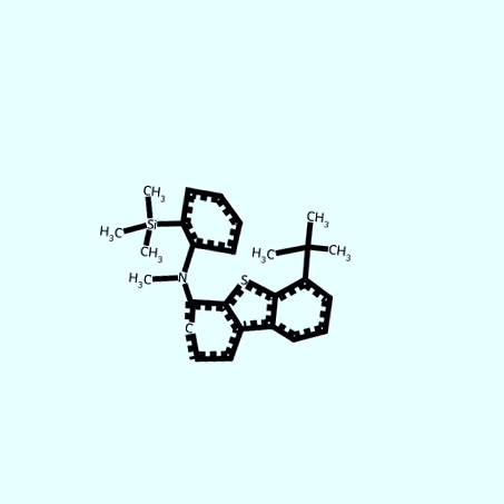 CN(c1ccccc1[Si](C)(C)C)c1cccc2c1sc1c(C(C)(C)C)cccc12